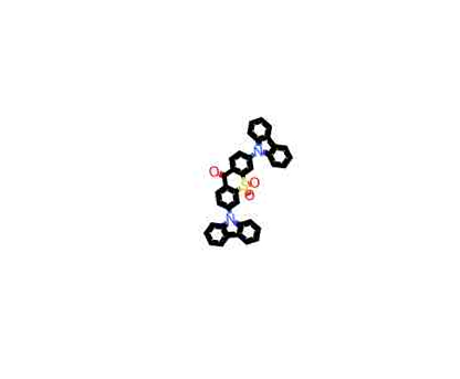 O=C1c2ccc(-n3c4ccccc4c4ccccc43)cc2S(=O)(=O)c2cc(-n3c4ccccc4c4ccccc43)ccc21